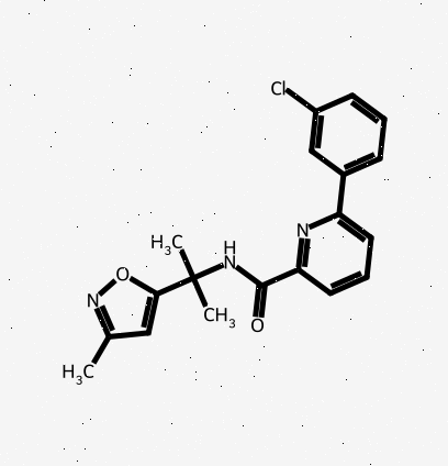 Cc1cc(C(C)(C)NC(=O)c2cccc(-c3cccc(Cl)c3)n2)on1